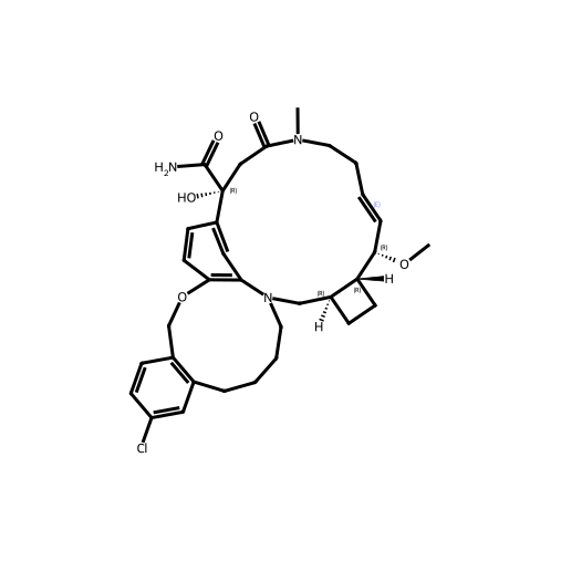 CO[C@H]1/C=C/CCN(C)C(=O)C[C@](O)(C(N)=O)c2ccc3c(c2)N(CCCCc2cc(Cl)ccc2CO3)C[C@@H]2CC[C@H]21